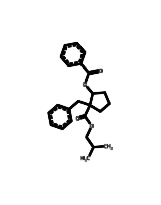 CC(C)COC(=O)C1(Cc2ccccc2)CCCC1OC(=O)c1ccccc1